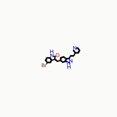 O=C1Nc2ccc(Br)cc2C1=Cc1ccc2c(C=Cc3cccnc3)n[nH]c2c1